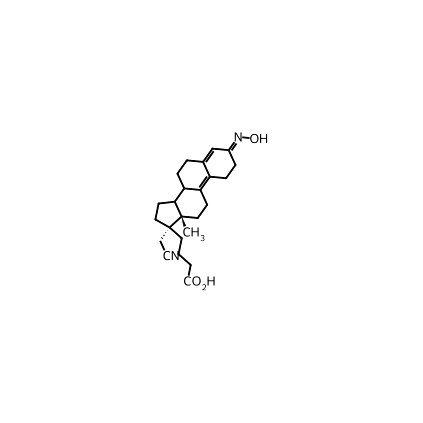 C[C@]12CCC3=C4CCC(=NO)C=C4CCC3C1CC[C@]2(CC#N)CCCC(=O)O